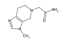 Cn1cnc2c1CN(CC(N)=O)CC2